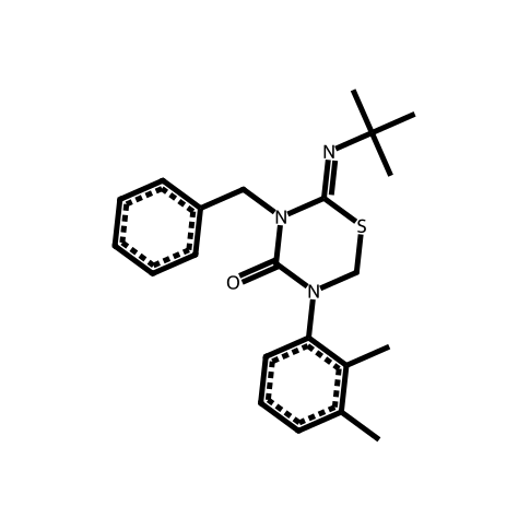 Cc1cccc(N2CSC(=NC(C)(C)C)N(Cc3ccccc3)C2=O)c1C